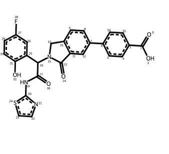 O=C(O)c1ccc(-c2ccc3c(c2)C(=O)N(C(C(=O)Nc2nccs2)c2cc(F)ccc2O)C3)cc1